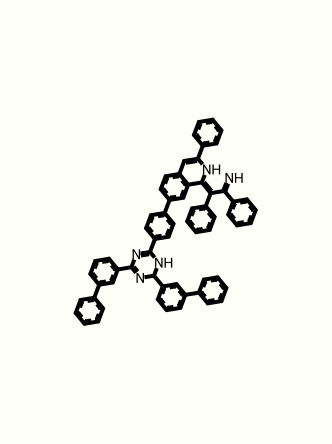 N=C(/C(=C1\NC(c2ccccc2)=Cc2ccc(-c3ccc(C4=NC(c5cccc(-c6ccccc6)c5)=NC(c5cccc(-c6ccccc6)c5)N4)cc3)cc21)c1ccccc1)c1ccccc1